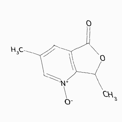 Cc1cc2c([n+]([O-])c1)C(C)OC2=O